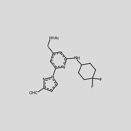 CC(=O)NCc1cc(NC2CCC(F)(F)CC2)nc(-n2ccc(C=O)n2)c1